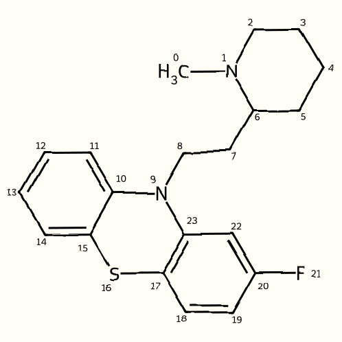 CN1CCCCC1CCN1c2ccccc2Sc2ccc(F)cc21